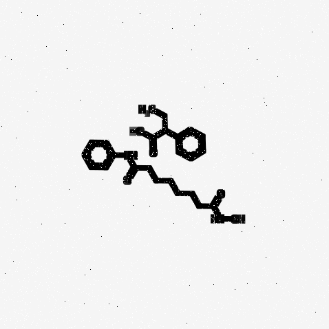 CCC(C(=O)O)c1ccccc1.O=C(CCCCCCC(=O)Nc1ccccc1)NO